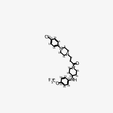 O=C(CCN1CCN(c2ccc(Cl)cc2)CC1)N1CCC(Nc2ccc(OC(F)(F)F)cc2)CC1